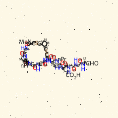 CCCN(CC(=O)N[C@@H](CCC(=O)O)C(=O)NCC(=O)NCC(=O)N[C@@H](C)C=O)C(=O)[C@H](CC(=O)O)NC(=O)[C@@H]1CSCc2ccccc2CSC[C@H](NC)C(=O)NCC(=O)N2CCC[C@@H]2C(=O)N(CCC)CC(=O)NCC(=O)N1